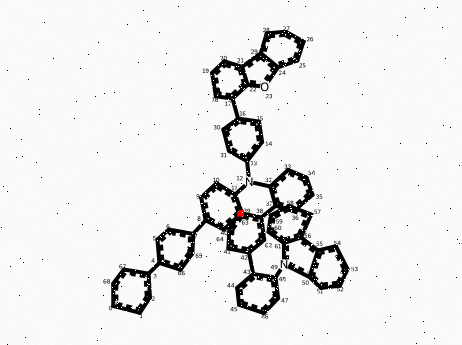 c1ccc(-c2ccc(-c3ccc(N(c4ccc(-c5cccc6c5oc5ccccc56)cc4)c4ccccc4-c4cccc(-c5ccccc5-n5c6ccccc6c6ccccc65)c4)cc3)cc2)cc1